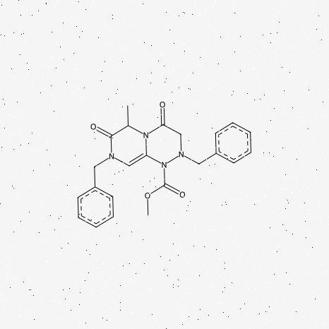 COC(=O)N1C2=CN(Cc3ccccc3)C(=O)C(C)N2C(=O)CN1Cc1ccccc1